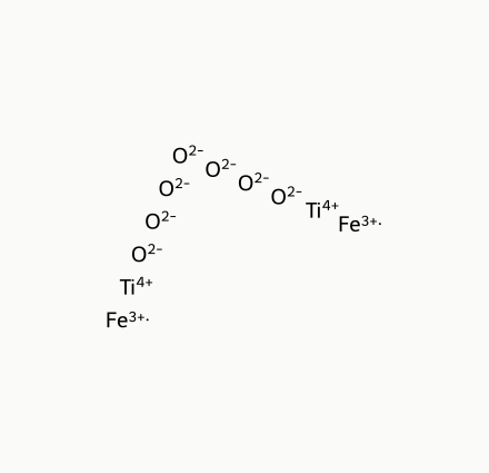 [Fe+3].[Fe+3].[O-2].[O-2].[O-2].[O-2].[O-2].[O-2].[O-2].[Ti+4].[Ti+4]